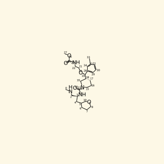 CNC[C@H](CC1CCCOC1)NC(=O)N1CCC[C@@H]([C@@H](OCCNC(=O)OC)c2cccc(C)c2)C1